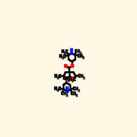 C=C(C)CC(CC(=C)C)(C(=O)OC1CC(C)(C)NC(C)(C)C1)C(=O)OC1CC(C)(C)NC(C)(C)C1